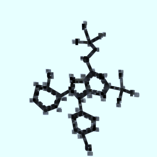 FC(F)(F)COc1nc(C(F)(F)F)nc2c(-c3ccc(Cl)cc3)n(-c3ccccc3Cl)nc12